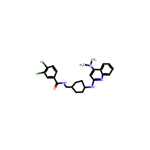 CN(C)c1cc(NC2CCC(CNC(=O)c3ccc(Cl)c(Cl)c3)CC2)nc2ccccc12